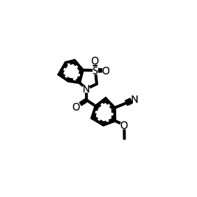 COc1ccc(C(=O)N2CS(=O)(=O)c3ccccc32)cc1C#N